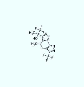 C[C@H]1Cn2c(nnc2C(F)(F)F)-c2cnc(C(C)(O)C(F)(F)F)n21